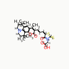 Cc1c(C=CC=C2SC(=S)N(CC(=O)O)C2=O)c(=O)oc2c3c4c(cc12)C(C)(C)CCN4CCC3(C)C